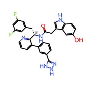 O=C(Cc1c[nH]c2ccc(O)cc12)N[C@@H](Cc1cc(F)cc(F)c1)c1ncccc1-c1cccc(-c2n[nH][nH]2)c1